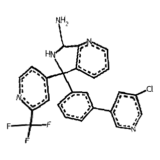 NC1NC(c2cccc(-c3cncc(Cl)c3)c2)(c2ccnc(C(F)(F)F)c2)c2cccnc21